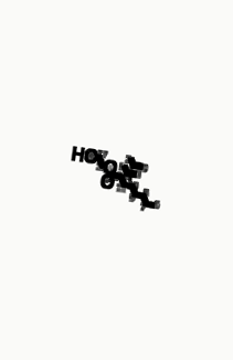 C=CC.C=CC.CCCCCCCC(=O)OCCO